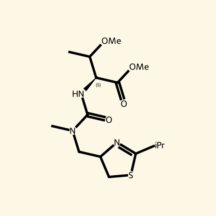 COC(=O)[C@@H](NC(=O)N(C)CC1CSC(C(C)C)=N1)C(C)OC